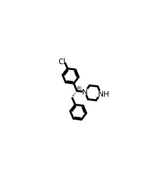 Clc1ccc([C@@H](Cc2ccccc2)N2CCNCC2)cc1